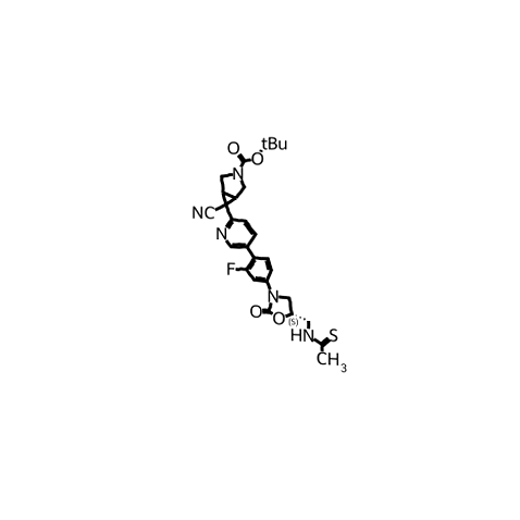 CC(=S)NC[C@H]1CN(c2ccc(-c3ccc(C4(C#N)C5CN(C(=O)OC(C)(C)C)CC54)nc3)c(F)c2)C(=O)O1